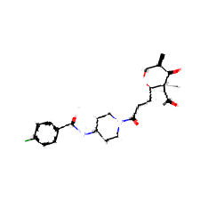 C=C1C(=O)[C@](C)(C(=O)OC)C(CCC(=O)N2CCC(NC(=O)c3ccc(F)cc3)CC2)O[C@@H]1C